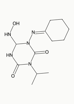 CC(C)N1C(=O)NC(NO)N(N=C2CCCCC2)C1=O